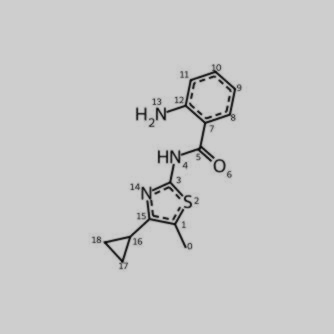 Cc1sc(NC(=O)c2ccccc2N)nc1C1CC1